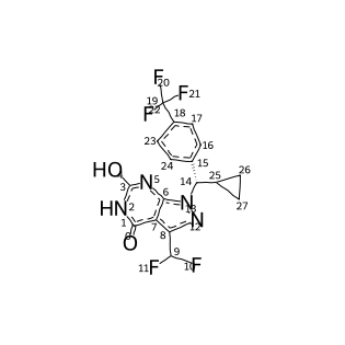 O=c1[nH]c(O)nc2c1c(C(F)F)nn2[C@H](c1ccc(C(F)(F)F)cc1)C1CC1